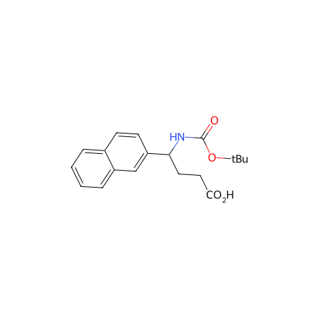 CC(C)(C)OC(=O)NC(CCC(=O)O)c1ccc2ccccc2c1